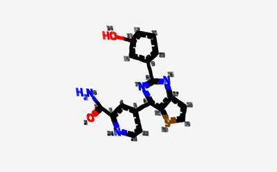 NC(=O)c1cc(-c2nc(-c3cccc(O)c3)nc3ccsc23)ccn1